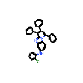 Clc1ccccc1Nc1ccc2c(c1)nc1c(-c3ccccc3)c(-c3ccccc3)cc(-c3ccccc3)n12